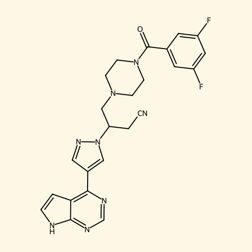 N#CCC(CN1CCN(C(=O)c2cc(F)cc(F)c2)CC1)n1cc(-c2ncnc3[nH]ccc23)cn1